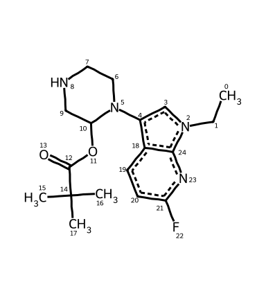 CCn1cc(N2CCNCC2OC(=O)C(C)(C)C)c2ccc(F)nc21